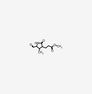 COC(=O)CCC1C(=O)NC(C=O)C1C